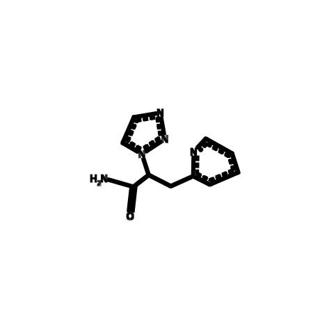 NC(=O)C(Cc1ccccn1)n1ccnn1